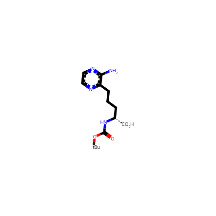 CC(C)(C)OC(=O)N[C@H](CCCc1nccnc1N)C(=O)O